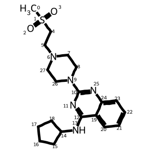 CS(=O)(=O)CCN1CCN(c2nc(NC3CCCC3)c3ccccc3n2)CC1